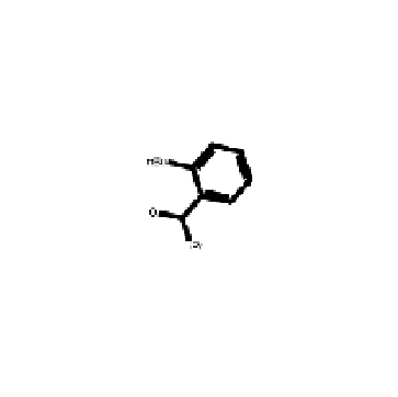 CCCCc1ccccc1C([O])C(C)C